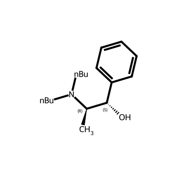 CCCCN(CCCC)[C@H](C)[C@@H](O)c1ccccc1